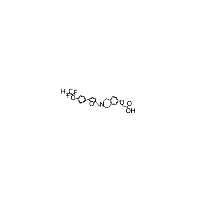 CC(F)(F)Oc1ccc(-c2ccc(CN3CCc4ccc(OCC(=O)O)cc4CC3)o2)cc1